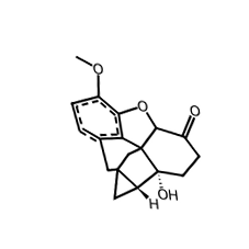 COc1ccc2c3c1OC1C(=O)CC[C@@]4(O)[C@@H]5CC5(C2)CC314